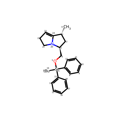 C[C@@H]1C[C@@H](CO[Si](c2ccccc2)(c2ccccc2)C(C)(C)C)N2CCC=C12